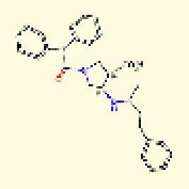 CC(CCc1ccccc1)N[C@H]1CN(C(=O)C(c2ccccc2)c2ccccc2)C[C@@H]1C(=O)O